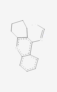 CCCC/C=N\c1c2c(nc3ccccc13)CCCC2